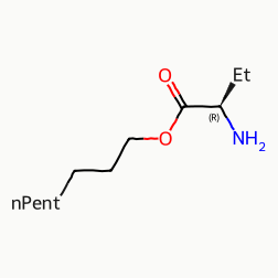 CCCCCCCCOC(=O)[C@H](N)CC